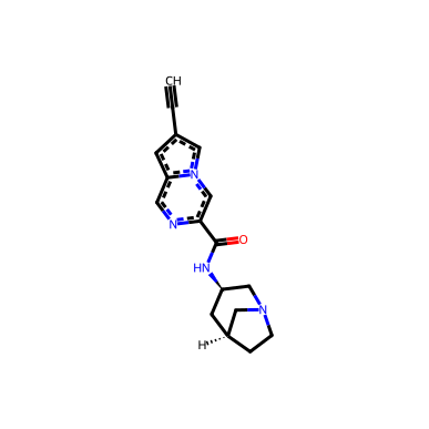 C#Cc1cc2cnc(C(=O)N[C@@H]3C[C@@H]4CCN(C4)C3)cn2c1